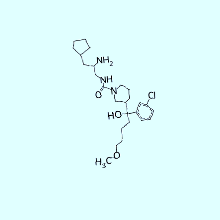 COCCCCC(O)(c1cccc(Cl)c1)C1CCCN(C(=O)NCC(N)CC2CCCC2)C1